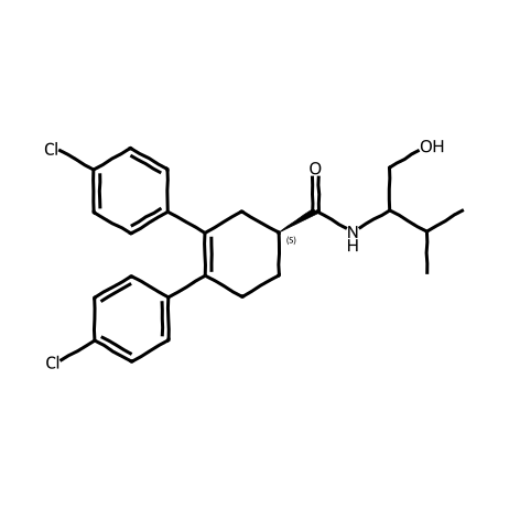 CC(C)C(CO)NC(=O)[C@H]1CCC(c2ccc(Cl)cc2)=C(c2ccc(Cl)cc2)C1